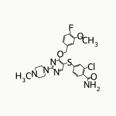 COc1cc(COc2nc(N3CCN(C)CC3)ncc2Sc2ccc(C(N)=O)c(Cl)c2)ccc1F